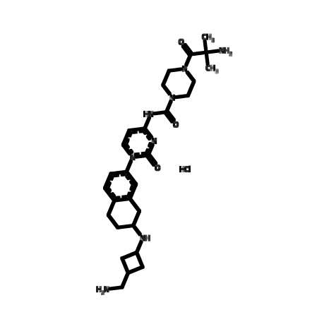 CC(C)(N)C(=O)N1CCN(C(=O)Nc2ccn(-c3ccc4c(c3)CC(NC3CC(CN)C3)CC4)c(=O)n2)CC1.Cl